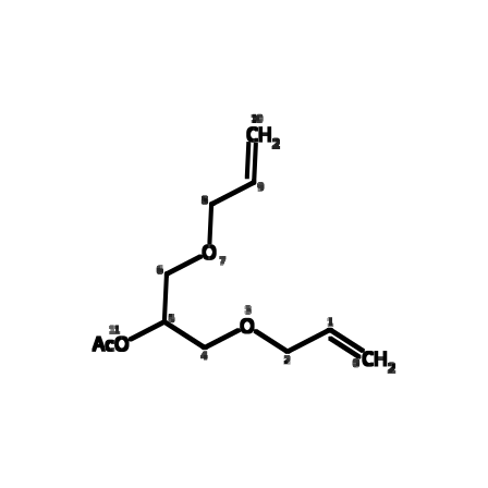 C=CCOCC(COCC=C)OC(C)=O